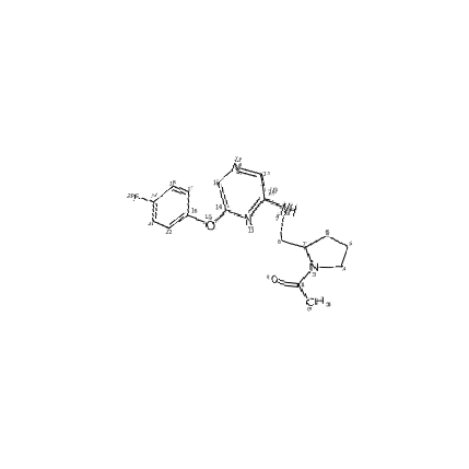 CC(=O)N1CCCC1CNc1cncc(Oc2ccc(F)cc2)n1